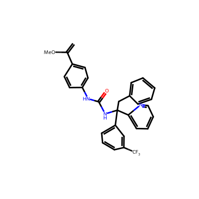 C=C(OC)c1ccc(NC(=O)NC(Cc2ccccc2)(c2cccc(C(F)(F)F)c2)c2ccccn2)cc1